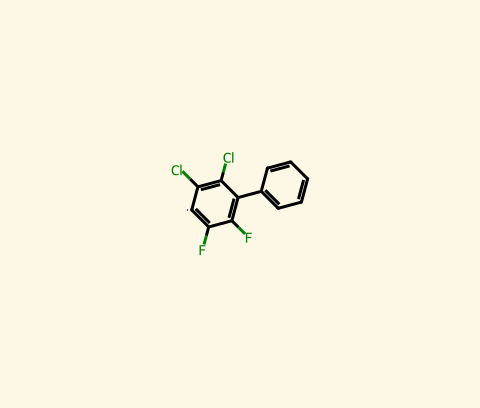 Fc1[c]c(Cl)c(Cl)c(-c2ccccc2)c1F